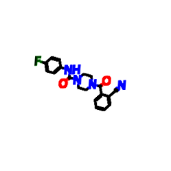 N#Cc1ccccc1C(=O)N1CCN(C(=O)Nc2ccc(F)cc2)CC1